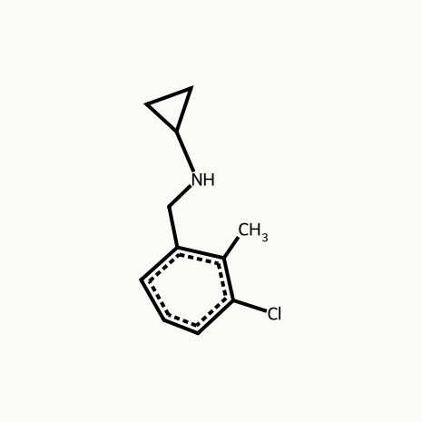 Cc1c(Cl)cccc1CNC1CC1